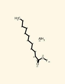 CCCCCCCCCCCC(=O)OF.[AlH3]